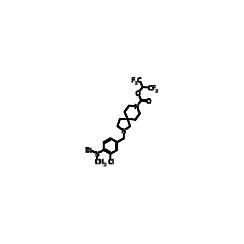 CCN(C)c1ccc(CN2CCC3(CCN(C(=O)OC(C(F)(F)F)C(F)(F)F)CC3)C2)cc1Cl